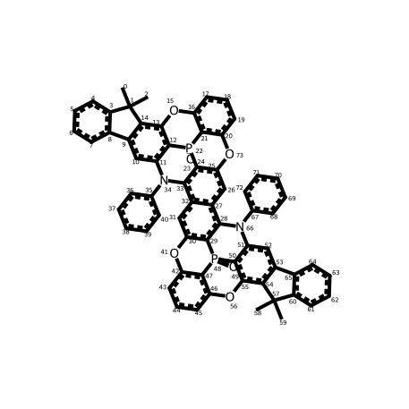 CC1(C)c2ccccc2-c2cc3c4c(c21)Oc1cccc2c1P4(=O)c1c(cc4c5c6c(cc4c1N3c1ccccc1)Oc1cccc3c1P6(=O)c1c(cc4c(c1O3)C(C)(C)c1ccccc1-4)N5c1ccccc1)O2